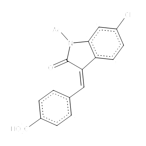 CC(=O)N1C(=O)C(=Cc2ccc(C(=O)O)cc2)c2ccc(Cl)cc21